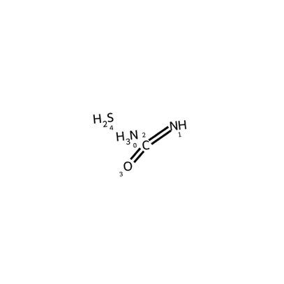 N.N=C=O.S